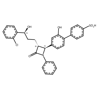 O=C1[C@H](CC[C@H](O)c2ccccc2Cl)[C@@H](c2ccc(-c3ccc(S(=O)(=O)O)cc3)c(O)c2)N1c1ccccc1